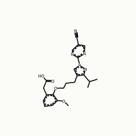 COc1cccc(CC(=O)O)c1OCCCc1cn(-c2ncc(C#N)cn2)nc1C(C)C